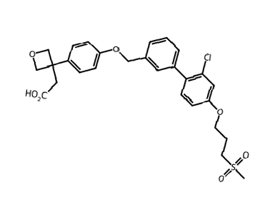 CS(=O)(=O)CCCOc1ccc(-c2cccc(COc3ccc(C4(CC(=O)O)COC4)cc3)c2)c(Cl)c1